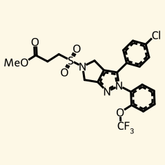 COC(=O)CCS(=O)(=O)N1Cc2nn(-c3ccccc3OC(F)(F)F)c(-c3ccc(Cl)cc3)c2C1